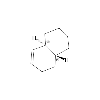 C1=C[C@H]2CCCC[C@@H]2CC1